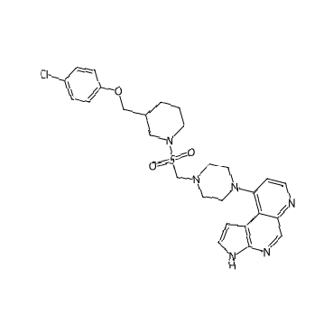 O=S(=O)(CN1CCN(c2ccnc3cnc4[nH]ccc4c23)CC1)N1CCCC(COc2ccc(Cl)cc2)C1